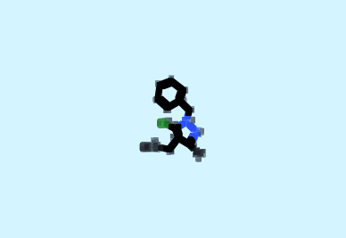 CC(=O)c1nn(Cc2ccccc2)c(Cl)c1CC=O